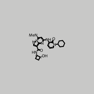 CNc1cc(Nc2cccn(C3CCCCC3)c2=O)nc2c(C(=O)N[C@@H]3CC[C@H]3O)cnn12